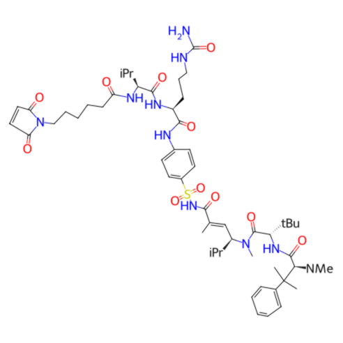 CN[C@H](C(=O)N[C@H](C(=O)N(C)[C@H](/C=C(\C)C(=O)NS(=O)(=O)c1ccc(NC(=O)[C@H](CCCNC(N)=O)NC(=O)[C@@H](NC(=O)CCCCCN2C(=O)C=CC2=O)C(C)C)cc1)C(C)C)C(C)(C)C)C(C)(C)c1ccccc1